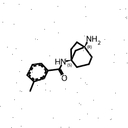 Cc1cccc(C(=O)N[C@@]23CCC[C@@](N)(CC2)C3)c1